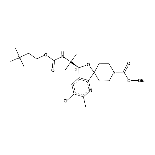 Cc1nc2c(cc1Cl)[C@@H](C(C)(C)NC(=O)OCC[Si](C)(C)C)OC21CCN(C(=O)OC(C)(C)C)CC1